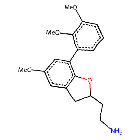 COc1cc2c(c(-c3cccc(OC)c3OC)c1)OC(CCN)C2